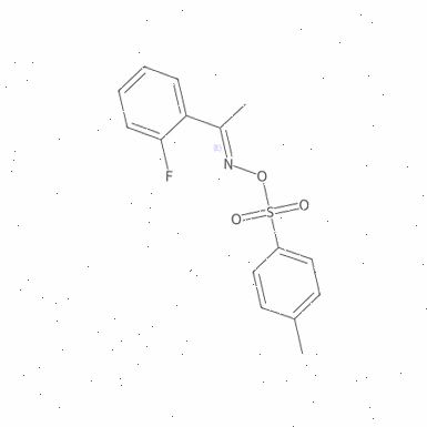 C/C(=N\OS(=O)(=O)c1ccc(C)cc1)c1ccccc1F